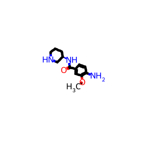 COc1cc(C(=O)N[C@@H]2CCCNC2)ccc1N